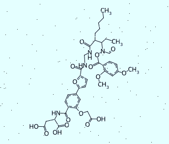 CCCCCC(C(=O)NCNC(=O)c1ccc(-c2ccc(C(=O)NC(CC(=O)O)C(=O)O)c(OCC(=O)O)c2)o1)C(CC)N(C=O)OC(=O)c1ccc(OC)cc1OC